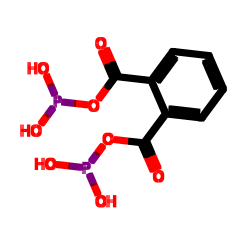 O=C(OP(O)O)c1ccccc1C(=O)OP(O)O